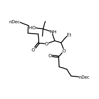 CCCCCCCCCCCCCC(=O)OC(CC)C(NC(C)(C)O)OC(=O)CCCCCCCCCCCCC